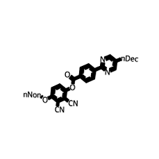 CCCCCCCCCCc1cnc(-c2ccc(C(=O)Oc3ccc(OCCCCCCCCC)c(C#N)c3C#N)cc2)nc1